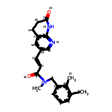 Cc1cccc(CN(C)C(=O)/C=C/c2cnc3c(c2)CCC(=O)N3)c1C